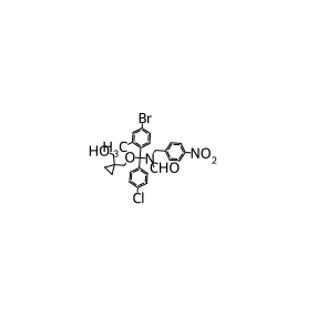 Cc1cc(Br)ccc1C(OCC1(CO)CC1)(c1ccc(Cl)cc1)N(C=O)Cc1ccc([N+](=O)[O-])cc1